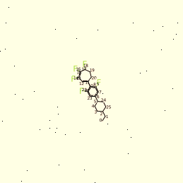 CCC1CCC(c2cc(F)c(C3=CC(F)=C(F)C(F)CC3)c(F)c2)CC1